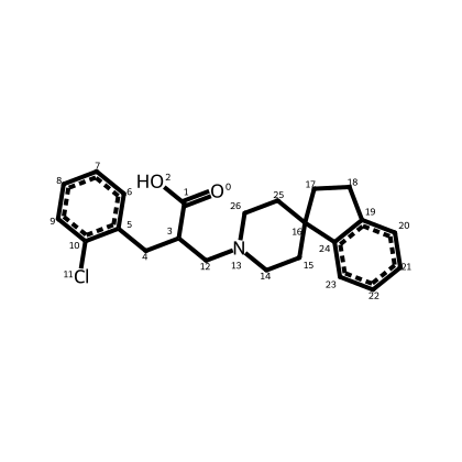 O=C(O)C(Cc1ccccc1Cl)CN1CCC2(CCc3ccccc32)CC1